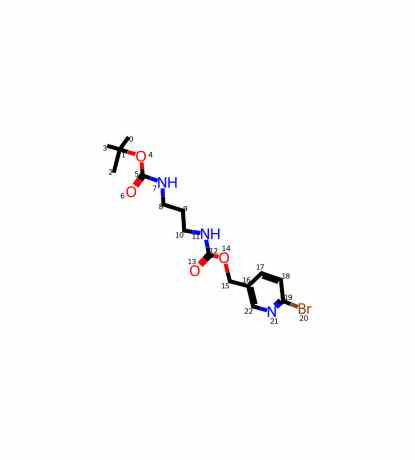 CC(C)(C)OC(=O)NCCCNC(=O)OCc1ccc(Br)nc1